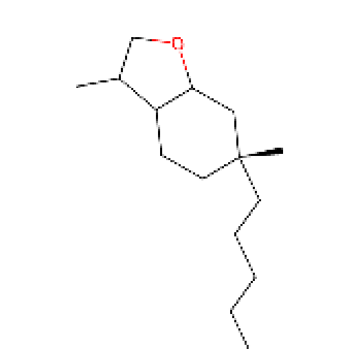 CCCCC[C@]1(C)CCC2C(C)COC2C1